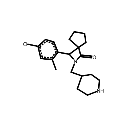 Cc1cc(Cl)ccc1C1N(CC2CCNCC2)C(=O)C12CCCC2